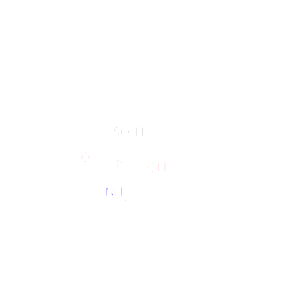 C=C.C=C.C=C.NP(=O)(O)S(=O)(=O)O